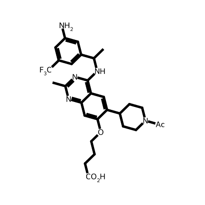 CC(=O)N1CCC(c2cc3c(NC(C)c4cc(N)cc(C(F)(F)F)c4)nc(C)nc3cc2OCCCC(=O)O)CC1